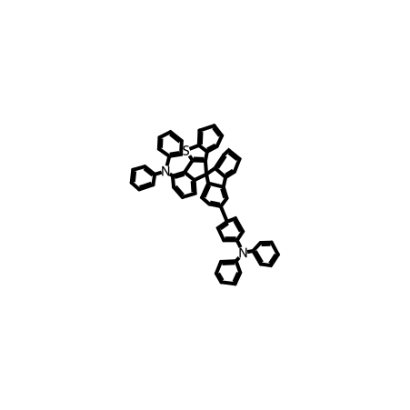 c1ccc(N(c2ccccc2)c2ccc(-c3ccc4c(c3)-c3ccccc3C43c4cccc(N(c5ccccc5)c5ccccc5)c4-c4sc5ccccc5c43)cc2)cc1